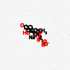 C[C@H]1CC2C3CCC4=CC(=O)C=C[C@]4(C)[C@@]3(F)[C@@H](O)C[C@]2(C)[C@@]1(O)C(=O)COC(=O)CCS(=O)(=O)[O-].[Na+]